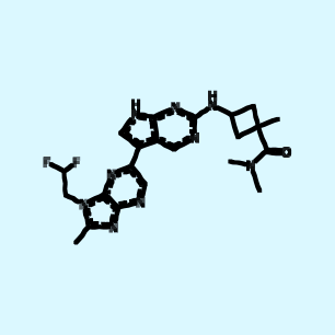 Cc1nc2ncc(-c3c[nH]c4nc(NC5CC(C)(C(=O)N(C)C)C5)ncc34)nc2n1CC(F)F